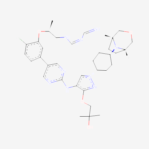 C[C@@H](CN/C=N\C=N)Oc1cc(-c2cnc(Nc3cn([C@H]4CC[C@H](N5[C@@H]6CC[C@H]5COC6)CC4)nc3OCC(C)(C)O)nc2)ccc1Cl